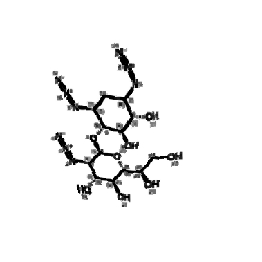 [N-]=[N+]=N[C@H]1[C@@H](O[C@H]2[C@H](O)[C@@H](O)[C@H](N=[N+]=[N-])C[C@@H]2N=[N+]=[N-])O[C@H]([C@H](O)CO)[C@@H](O)[C@@H]1O